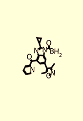 BC(=O)n1c(C2CC2)nc2c(C(=O)c3ccccn3)cc(-c3c(C)noc3C)cc21